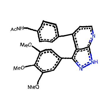 COc1cc(-c2n[nH]c3nccc(-c4ccc(NC(C)=O)cc4)c23)cc(OC)c1OC